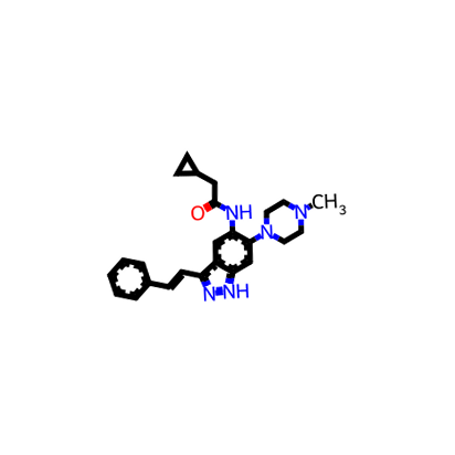 CN1CCN(c2cc3[nH]nc(/C=C/c4ccccc4)c3cc2NC(=O)CC2CC2)CC1